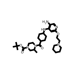 CC1CN(C(=O)OC(C)(C)C)CCN1C(=O)C1CCC(Nc2cc(OCCN3CCCCC3)ncc2N)CC1